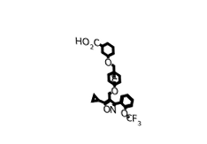 O=C(O)C1CCCC(OCC23CCC(OCc4c(-c5ccccc5OC(F)(F)F)noc4C4CC4)(CC2)CC3)C1